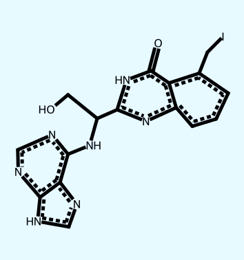 O=c1[nH]c(C(CO)Nc2ncnc3[nH]cnc23)nc2cccc(CI)c12